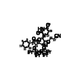 CC(C)[Si]1(C(C)C)OC(C(=O)c2ccccc2)[C@H]2O[C@@H](n3ccc(=O)[nH]c3=O)[C@H](OCCC#N)[C@@H]2O[Si](C(C)C)(C(C)C)O1